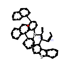 C=C/C(=C(\C=C/C)c1cccc2sc3ccccc3c12)N(c1ccc(-c2cccc3ccccc23)cc1)c1ccccc1-c1cccc2ccccc12